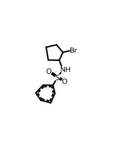 O=S(=O)(NC1CCCC1Br)c1ccccc1